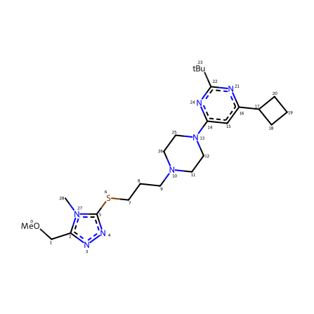 COCc1nnc(SCCCN2CCN(c3cc(C4CCC4)nc(C(C)(C)C)n3)CC2)n1C